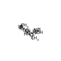 Cc1cc(Nc2nccc(OCc3ccnn3C)n2)cc(-c2cnc(C3(O)CCC3)s2)c1